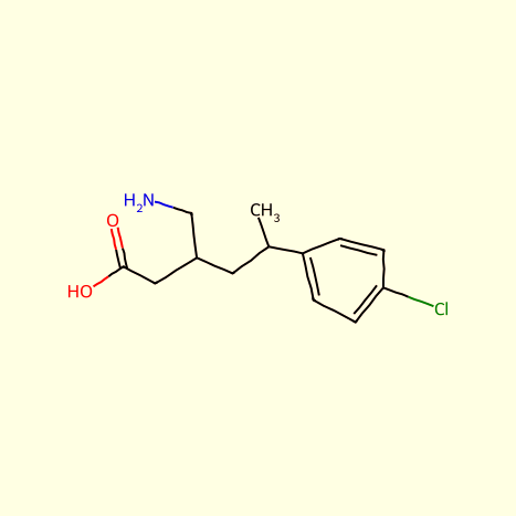 CC(CC(CN)CC(=O)O)c1ccc(Cl)cc1